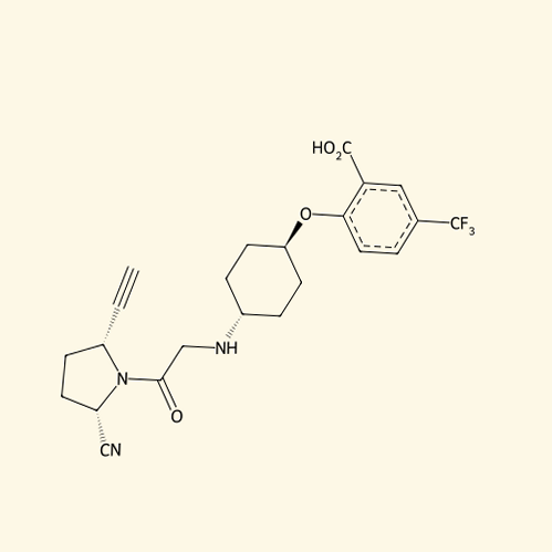 C#C[C@H]1CC[C@@H](C#N)N1C(=O)CN[C@H]1CC[C@H](Oc2ccc(C(F)(F)F)cc2C(=O)O)CC1